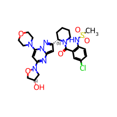 CS(=O)(=O)Nc1ccc(Cl)cc1C(=O)N1CCCC[C@H]1c1cc2nc(N3C[C@H](O)CO3)cc(N3CCOCC3)n2n1